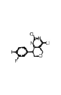 Fc1ccc(C2COCc3c(Cl)nc(Cl)nc32)cc1F